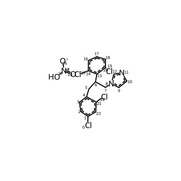 Clc1ccc(CC(Cn2ccnc2)c2c(Cl)cccc2Cl)c(Cl)c1.O=[N+]([O-])O